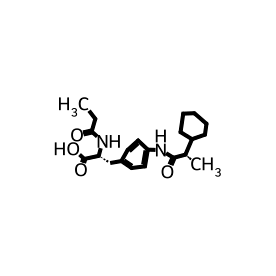 CCC(=O)N[C@H](Cc1ccc(NC(=O)[C@@H](C)C2CCCCC2)cc1)C(=O)O